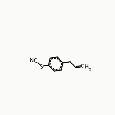 C=CCc1ccc(SC#N)cc1